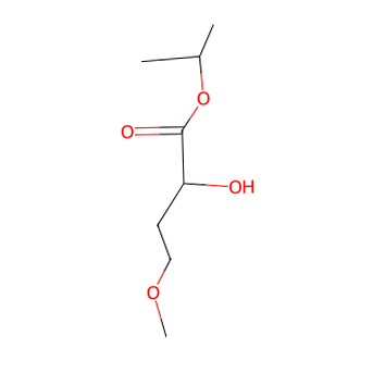 COCCC(O)C(=O)OC(C)C